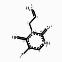 C=CCn1c(=O)[nH]cc(F)c1=N